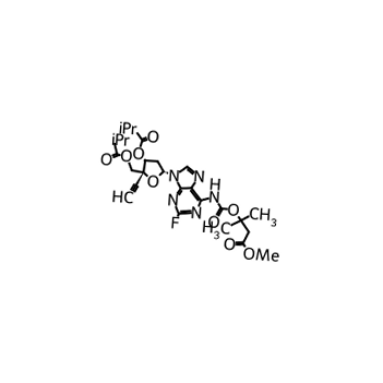 C#C[C@]1(COC(=O)C(C)C)O[C@@H](n2cnc3c(NC(=O)OC(C)(C)CC(=O)OC)nc(F)nc32)C[C@@H]1OC(=O)C(C)C